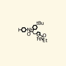 CCNC(=O)c1ccc(CC(C(=O)Nc2ccc(I)cc2)c2ccc(C(C)(C)C)cc2)s1